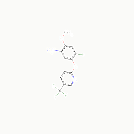 COc1cc(F)c(Oc2ccc(C(F)(F)F)cn2)cc1N